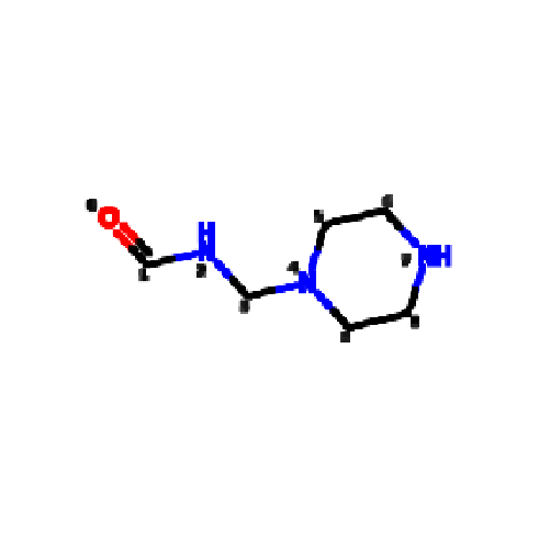 O=CNCN1CCNCC1